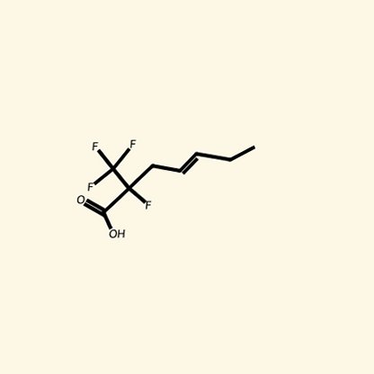 CCC=CCC(F)(C(=O)O)C(F)(F)F